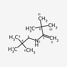 C=C(NCC(C)(C)C)C(C)(C)C